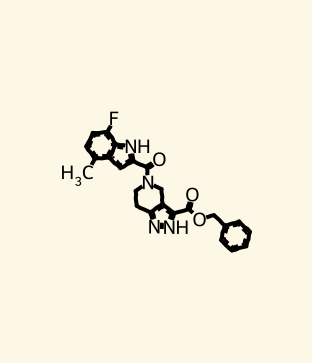 Cc1ccc(F)c2[nH]c(C(=O)N3CCc4n[nH]c(C(=O)OCc5ccccc5)c4C3)cc12